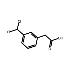 O=C(O)Cc1cccc(C(Cl)Cl)c1